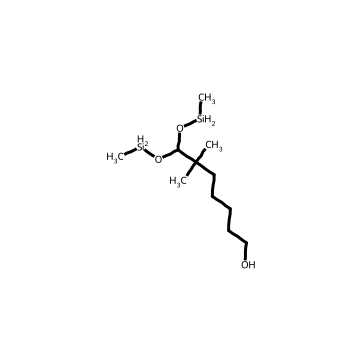 C[SiH2]OC(O[SiH2]C)C(C)(C)CCCCCO